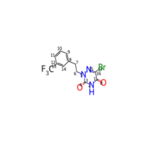 O=c1[nH]c(=O)n(CCc2cccc(C(F)(F)F)c2)nc1Br